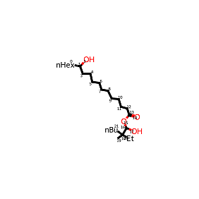 CCCCCCC(O)CCCCCCCCCCC(=O)OC(O)C(C)(CC)CCCC